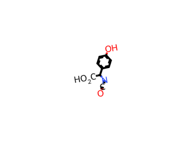 O=C=NC(C(=O)O)c1ccc(O)cc1